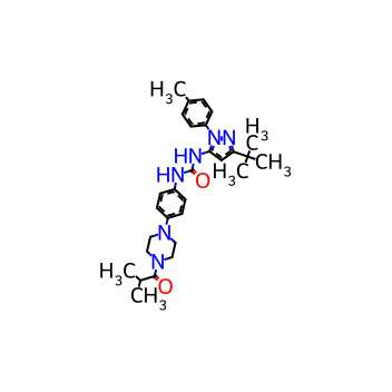 Cc1ccc(-n2nc(C(C)(C)C)cc2NC(=O)Nc2ccc(N3CCN(C(=O)C(C)C)CC3)cc2)cc1